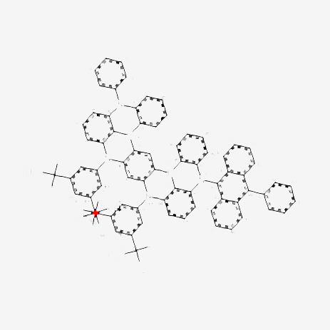 CC(C)(C)c1cc(N2c3cc4c(cc3B3c5ccccc5N(c5ccccc5)c5cccc2c53)B2c3ccccc3N(c3c5ccccc5c(-c5ccccc5)c5ccccc35)c3cccc(c32)N4c2cc(C(C)(C)C)cc(C(C)(C)C)c2)cc(C(C)(C)C)c1